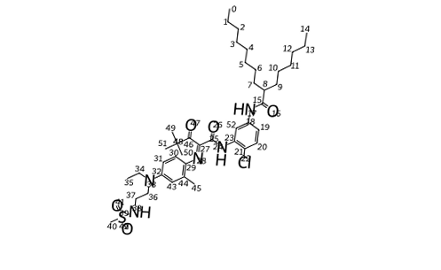 CCCCCCCCC(CCCCCC)C(=O)Nc1ccc(Cl)c(NC(=O)C(=Nc2ccc(N(CC)CCNS(C)(=O)=O)cc2C)C(=O)C(C)(C)C)c1